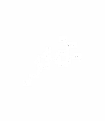 CCOc1ccc(F)c(-c2ncc(N)c(C(=O)O)n2)c1